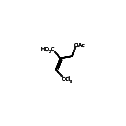 CC(=O)OC/C(=C\C(Cl)(Cl)Cl)C(=O)O